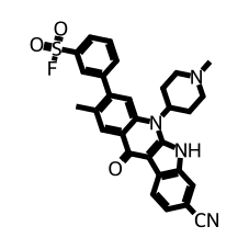 Cc1cc2c(=O)c3c4ccc(C#N)cc4[nH]c3n(C3CCN(C)CC3)c2cc1-c1cccc(S(=O)(=O)F)c1